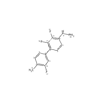 Cc1ccc(-c2ccc(PP)c(F)c2F)cc1F